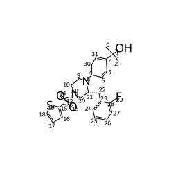 CC(C)(O)c1ccc(N2CCN(S(=O)(=O)c3cccs3)C[C@H]2Cc2ccccc2F)cc1